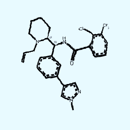 C=CCN1CCCC[C@H]1[C@@H](NC(=O)c1cccc(C(F)(F)F)c1Cl)c1cccc(-c2cnn(C)c2)c1